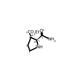 CCOC(=O)[C@@H]1CCN[C@@H]1C(N)=O